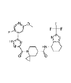 COc1cc(-c2cc(C(=O)N3CC[C@H](C(=O)N[C@H]4CCCn5cc(C(F)(F)F)nc54)CC34CC4)n[nH]2)c(F)cn1